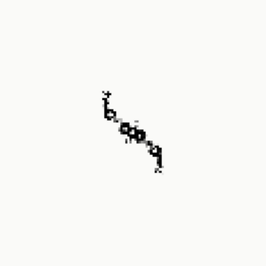 CN(C)CCCC1CCN(/C=N/c2ccc3c(c2)C(=O)c2ccc(/N=C/N4CCC(CCCN(C)C)CC4)cc2C3=O)CC1